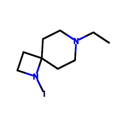 CCN1CCC2(CC1)CCN2I